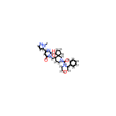 Cn1nccc1-c1cc(=O)n(CC2(O)CCN(C(=O)N3CCOCC3c3ccccc3)CC23CCCC3)cn1